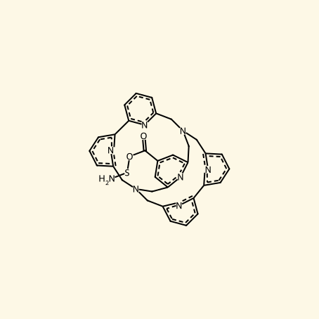 NSOC(=O)c1cc2nc(c1)CN1Cc3cccc(n3)-c3cccc(n3)CN(C2)Cc2cccc(n2)-c2cccc(n2)C1